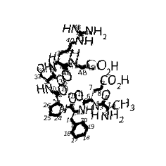 C[C@H](N)C(=O)N[C@@H](CCC(=O)O)C(=O)N[C@@H](Cc1ccccc1)C(=O)N1CCC[C@H]1C(=O)N[C@@H](CO)C(=O)N[C@@H](CCCNC(=N)N)C(=O)NCC(=O)O